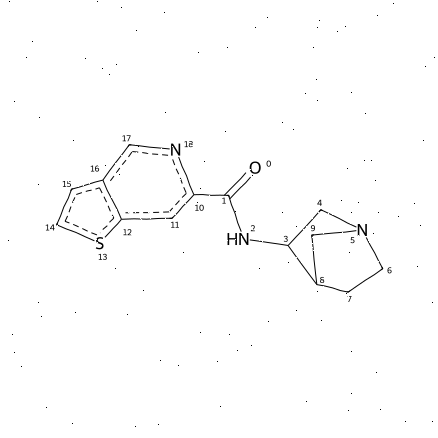 O=C(NC1CN2CCC1C2)c1cc2sccc2cn1